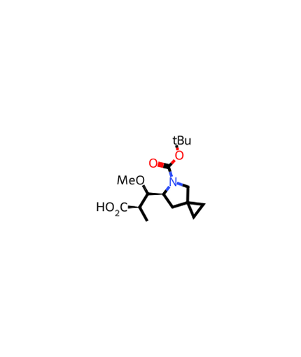 COC([C@@H](C)C(=O)O)[C@@H]1CC2(CC2)CN1C(=O)OC(C)(C)C